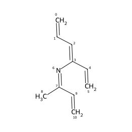 C=C/C=C(C=C)\N=C(\C)C=C